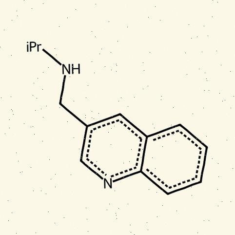 CC(C)NCc1cnc2ccccc2c1